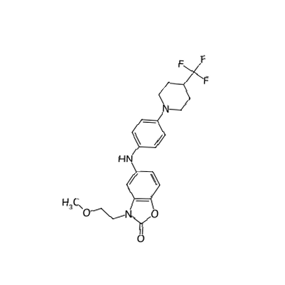 COCCn1c(=O)oc2ccc(Nc3ccc(N4CCC(C(F)(F)F)CC4)cc3)cc21